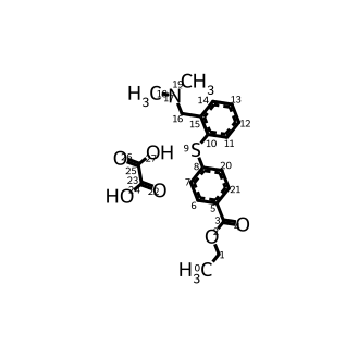 CCOC(=O)c1ccc(Sc2ccccc2CN(C)C)cc1.O=C(O)C(=O)O